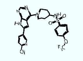 N#Cc1ccc(-c2cc3c(N4CCC(NS(=O)(=O)c5ccc(OC(F)(F)F)cc5)CC4)ncnc3[nH]2)cn1